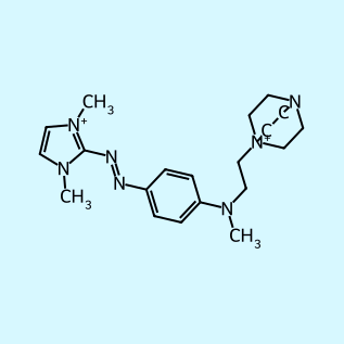 CN(CC[N+]12CCN(CC1)CC2)c1ccc(N=Nc2n(C)cc[n+]2C)cc1